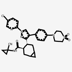 N#CC1(NC(=O)[C@@H]2CC3CC3C[C@H]2c2nn(-c3ccc(Cl)cn3)cc2-c2ccc(N3CCS(=O)(=O)CC3)cc2)CC1